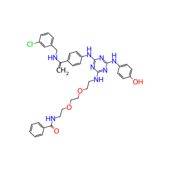 C=C(NCc1cccc(Cl)c1)c1ccc(Nc2nc(NCCOCCOCCNC(=O)c3ccccc3)nc(Nc3ccc(O)cc3)n2)cc1